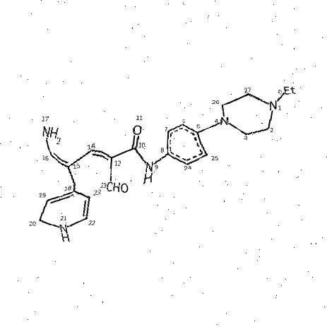 CCN1CCN(c2ccc(NC(=O)/C(C=O)=C/C(=C\N)C3=CCNC=C3)cc2)CC1